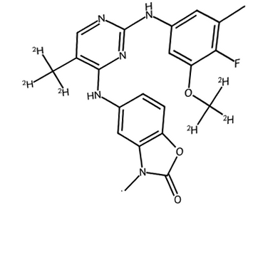 [2H]C([2H])([2H])Oc1cc(Nc2ncc(C([2H])([2H])[2H])c(Nc3ccc4oc(=O)n([CH2])c4c3)n2)cc(C)c1F